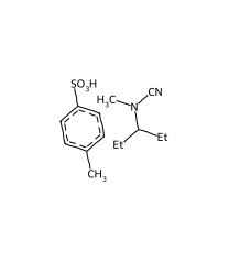 CCC(CC)N(C)C#N.Cc1ccc(S(=O)(=O)O)cc1